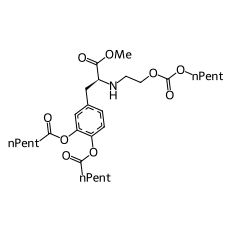 CCCCCOC(=O)OCCN[C@@H](Cc1ccc(OC(=O)CCCCC)c(OC(=O)CCCCC)c1)C(=O)OC